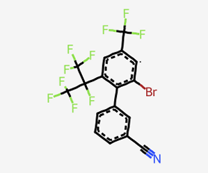 N#Cc1cccc(-c2c(Br)[c]c(C(F)(F)F)cc2C(F)(C(F)(F)F)C(F)(F)F)c1